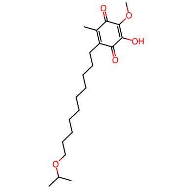 COC1=C(O)C(=O)C(CCCCCCCCCCOC(C)C)=C(C)C1=O